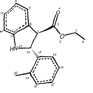 CCOC(=O)[C@@H]1c2ccccc2N[C@H]1c1ccccc1C